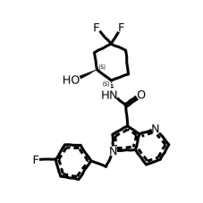 O=C(N[C@H]1CCC(F)(F)C[C@@H]1O)c1cn(Cc2ccc(F)cc2)c2cccnc12